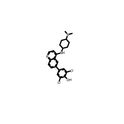 CN(C)C1CCC(Nc2[c]cnc3ccc(-c4cc(Cl)c(O)c(Cl)c4)cc23)CC1